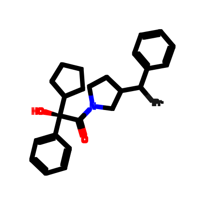 C[C](C)C(c1ccccc1)C1CCN(C(=O)[C@](O)(c2ccccc2)C2CCCC2)C1